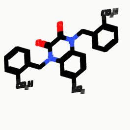 O=C(O)c1ccccc1Cn1c(=O)c(=O)n(Cc2ccccc2C(=O)O)c2cc([N+](=O)[O-])ccc21